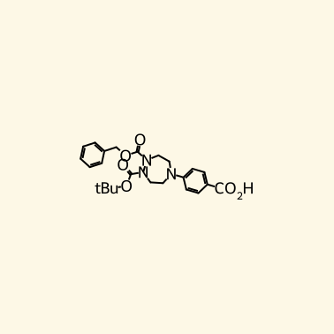 CC(C)(C)OC(=O)N1CCN(c2ccc(C(=O)O)cc2)CCN1C(=O)OCc1ccccc1